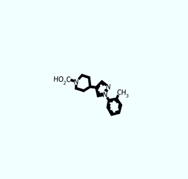 Cc1ccccc1-n1cc(C2CCN(C(=O)O)CC2)cn1